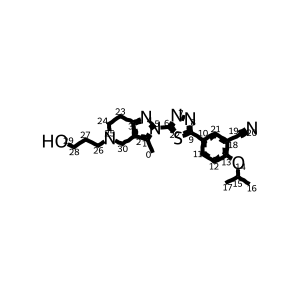 Cc1c2c(nn1-c1nnc(-c3ccc(OC(C)C)c(C#N)c3)s1)CCN(CCCO)C2